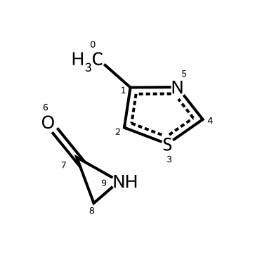 Cc1cscn1.O=C1CN1